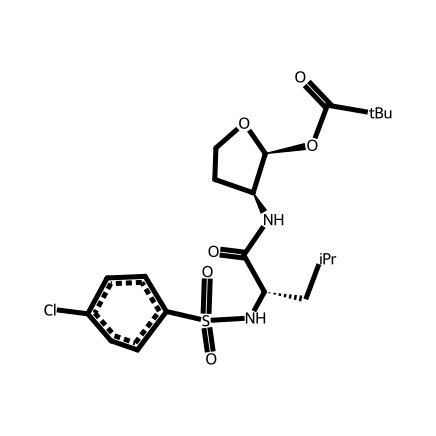 CC(C)C[C@H](NS(=O)(=O)c1ccc(Cl)cc1)C(=O)N[C@H]1CCO[C@H]1OC(=O)C(C)(C)C